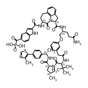 Cc1ncsc1-c1ccc([C@H](C)NC(=O)[C@@H]2C[C@@H](C)CN2C(=O)[C@@H](NC(=O)Cc2cccc(OC[C@H](CCC(N)=O)NC(=O)[C@@H]3Cc4cccc5c4N3C(=O)[C@@H](NC(=O)c3cc4cc(C(=O)P(=O)(O)O)ccc4[nH]3)CC5)c2)C(C)(C)C)cc1